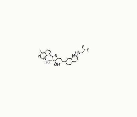 Cc1ncnc2c1ccn2[C@@H]1S[C@@H](CCc2ccc3ccc(NCC(F)F)nc3c2)[C@@H](O)[C@H]1O